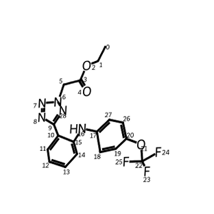 CCOC(=O)Cn1nnc(-c2ccccc2Nc2ccc(OC(F)(F)F)cc2)n1